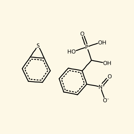 O=[N+]([O-])c1ccccc1C(O)P(=O)(O)O.c1ccc2c(c1)S2